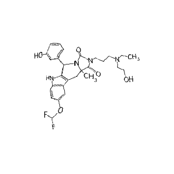 CCN(CCO)CCCN1C(=O)N2C(c3cccc(O)c3)c3[nH]c4ccc(OC(F)F)cc4c3CC2(C)C1=O